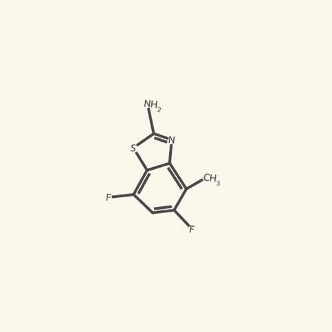 Cc1c(F)cc(F)c2sc(N)nc12